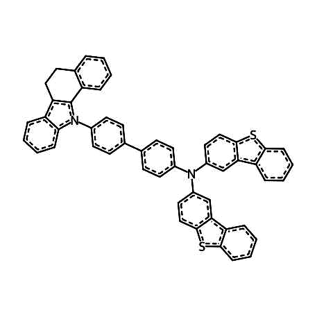 c1ccc2c(c1)CCc1c-2n(-c2ccc(-c3ccc(N(c4ccc5sc6ccccc6c5c4)c4ccc5sc6ccccc6c5c4)cc3)cc2)c2ccccc12